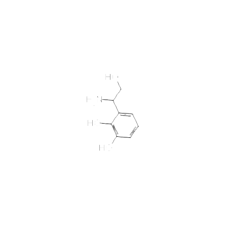 NC(CO)c1cccc(O)c1O